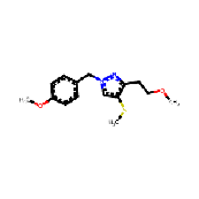 COCCc1nn(Cc2ccc(OC)cc2)cc1SC